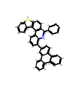 c1ccc(-c2nc3c(-c4ccc5c6ccccc6c6ccccc6c5c4)cccc3c3c2ccc2sc4ccccc4c23)cc1